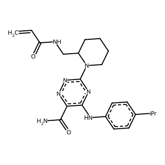 C=CC(=O)NCC1CCCCN1c1nnc(C(N)=O)c(Nc2ccc(C(C)C)cc2)n1